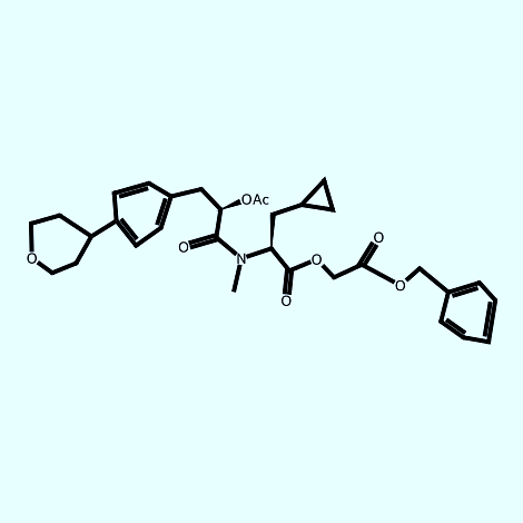 CC(=O)O[C@H](Cc1ccc(C2CCOCC2)cc1)C(=O)N(C)[C@@H](CC1CC1)C(=O)OCC(=O)OCc1ccccc1